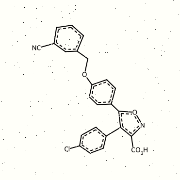 N#Cc1cccc(COc2ccc(-c3onc(C(=O)O)c3-c3ccc(Cl)cc3)cc2)c1